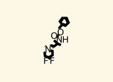 CC(C)(CC[N+]1(C)CCC(F)(F)CC1)NC(=O)OCc1ccccc1